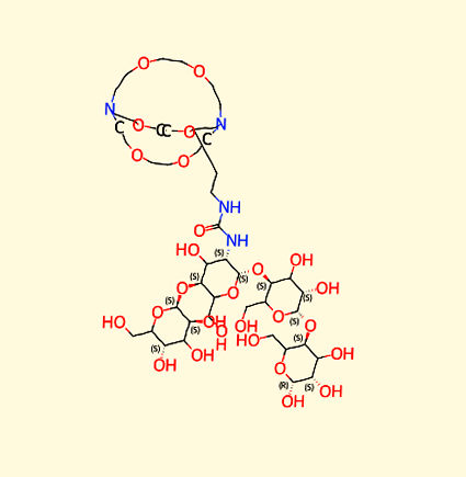 O=C(NCCC1CN2CCOCCOCCN(CCOCCOCC2)CCOCCO1)N[C@H]1C(O)[C@H](O[C@@H]2OC(CO)[C@@H](O)C(O)[C@@H]2O)C(CO)O[C@H]1O[C@@H]1C(CO)O[C@@H](O[C@@H]2C(CO)O[C@@H](O)[C@@H](O)C2O)[C@@H](O)C1O